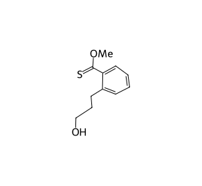 COC(=S)c1ccccc1CCCO